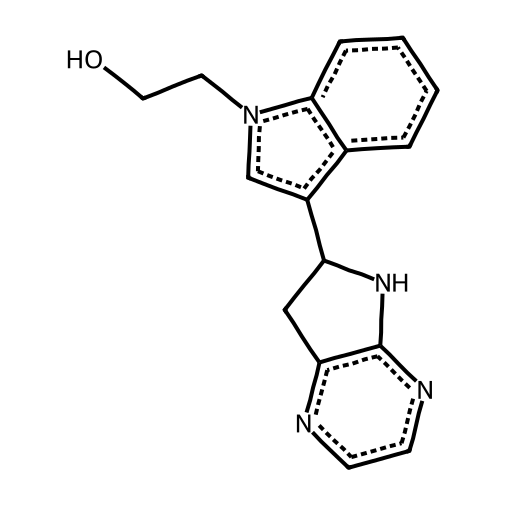 OCCn1cc(C2Cc3nccnc3N2)c2ccccc21